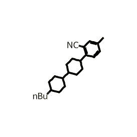 CCCCC1CCC(C2CCC(c3ccc(C)cc3C#N)CC2)CC1